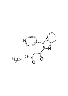 CCOC(=O)CC(=O)c1nc2ccccn2c1-c1ccncc1